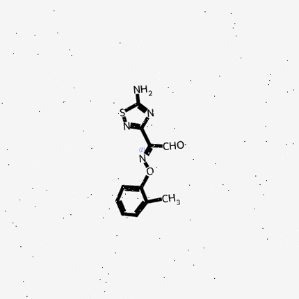 Cc1ccccc1O/N=C(\[C]=O)c1nsc(N)n1